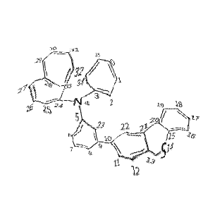 c1ccc(N(c2cccc(-c3ccc4sc5ccccc5c4c3)c2)c2cccc3ccccc23)cc1